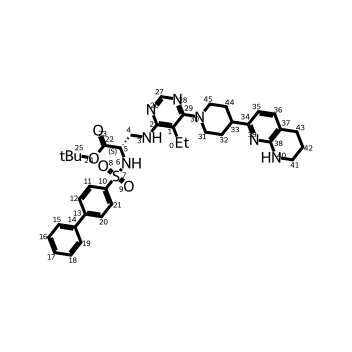 CCc1c(NC[C@H](NS(=O)(=O)c2ccc(-c3ccccc3)cc2)C(=O)OC(C)(C)C)ncnc1N1CCC(c2ccc3c(n2)NCCC3)CC1